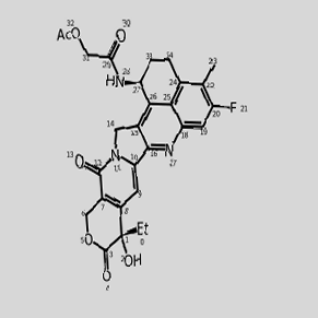 CC[C@@]1(O)C(=O)OCc2c1cc1n(c2=O)Cc2c-1nc1cc(F)c(C)c3c1c2[C@@H](NC(=O)COC(C)=O)CC3